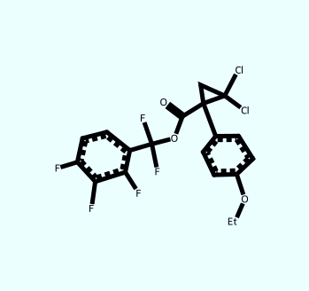 CCOc1ccc(C2(C(=O)OC(F)(F)c3ccc(F)c(F)c3F)CC2(Cl)Cl)cc1